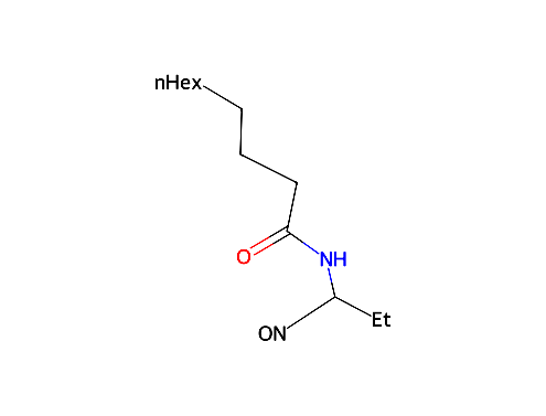 CCCCCCCCCC(=O)NC(CC)N=O